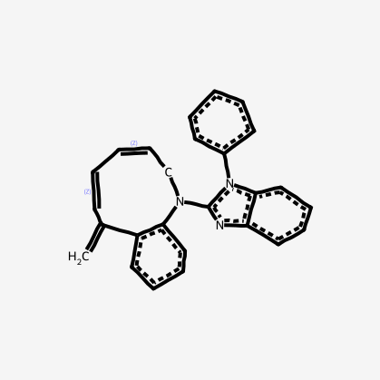 C=C1/C=C\C=C/CN(c2nc3ccccc3n2-c2ccccc2)c2ccccc21